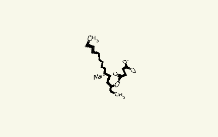 C=CC(CCCCCCCCCCCC)OC(=O)CCC(=O)[O-].[Na+]